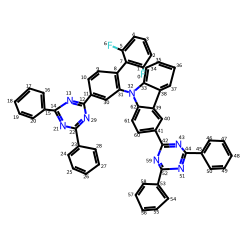 Fc1cccc(F)c1-c1ccc(-c2nc(-c3ccccc3)nc(-c3ccccc3)n2)cc1-n1c2ccccc2c2cc(-c3nc(-c4ccccc4)nc(-c4ccccc4)n3)ccc21